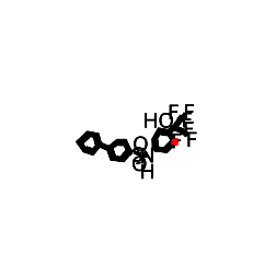 O=S(=O)(Nc1ccc(C(O)(C(F)(F)F)C(F)(F)F)cc1)c1ccc(-c2ccccc2)cc1